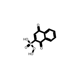 O=C1C=C(P(=O)(O)OO)C(=O)c2ccccc21